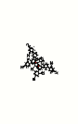 N#Cc1ccc(-c2c(-n3c4ccc(-c5ccc(C#N)cc5C#N)cc4c4cc(-c5ccc(C#N)cc5C#N)ccc43)cncc2-n2c3ccc(-c4ccc(C#N)cc4C#N)cc3c3cc(-c4ccc(C#N)cc4C#N)ccc32)cc1